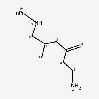 C=C(CCN)CC(C)CNCCC